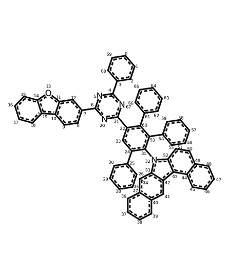 c1ccc(-c2nc(-c3ccc4c(c3)oc3ccccc34)nc(-c3cc(-c4ccccc4)c(-n4c5cc6ccccc6cc5c5c6ccccc6ccc54)c(-c4ccccc4)c3-c3ccccc3)n2)cc1